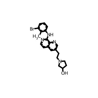 Cc1c(Br)cccc1Nc1nccc2cc(CCN3CCC(O)C3)cnc12